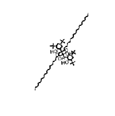 CCCCCCCCCCCCCCCCCCC(CCCCCCCCCCCCCCCCCC)(c1cc(C(C)(C)C)cc(C(C)(C)C)c1O)C(Cc1cc(C(C)(C)C)cc(C(C)(C)C)c1O)(C(=O)O)C(=O)O